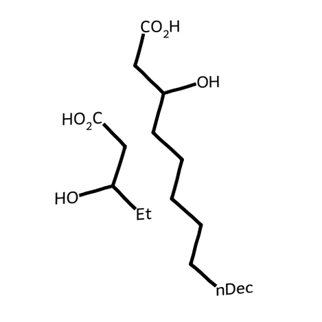 CCC(O)CC(=O)O.CCCCCCCCCCCCCCCC(O)CC(=O)O